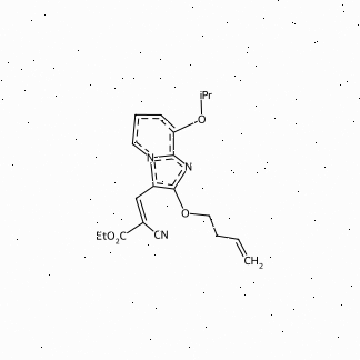 C=CCCOc1nc2c(OC(C)C)cccn2c1/C=C(\C#N)C(=O)OCC